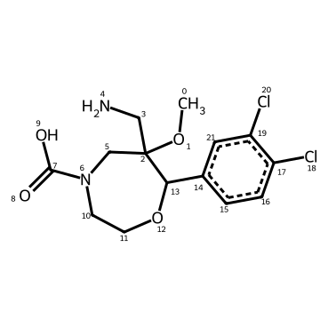 COC1(CN)CN(C(=O)O)CCOC1c1ccc(Cl)c(Cl)c1